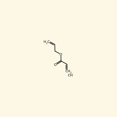 C=CCOC(=O)C=C.[CH]